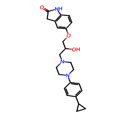 O=C1Cc2cc(OCC(O)CN3CCN(c4ccc(C5CC5)cc4)CC3)ccc2N1